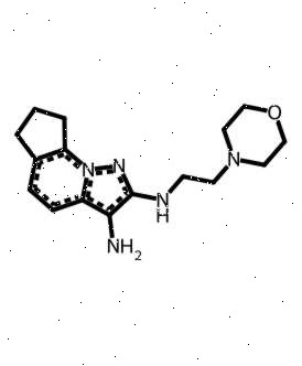 Nc1c(NCCN2CCOCC2)nn2c3c(ccc12)CCC3